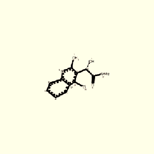 COC(=O)[C@@H](O)c1c(C)nc2ccccc2c1Cl